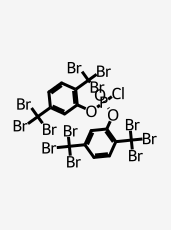 O=P(Cl)(Oc1cc(C(Br)(Br)Br)ccc1C(Br)(Br)Br)Oc1cc(C(Br)(Br)Br)ccc1C(Br)(Br)Br